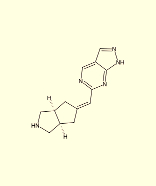 C(=C1C[C@H]2CNC[C@H]2C1)c1ncc2cn[nH]c2n1